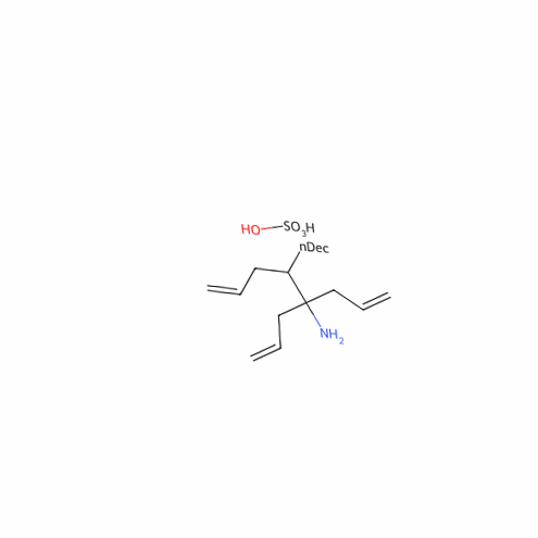 C=CCC(CCCCCCCCCC)C(N)(CC=C)CC=C.O=S(=O)(O)O